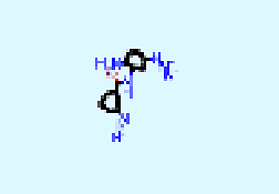 [N-]=[N+]=Nc1cccc(C(=O)Nc2cc(N=[N+]=[N-])ccc2N)c1